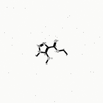 CCOC(=O)c1nnn(C)c1OC